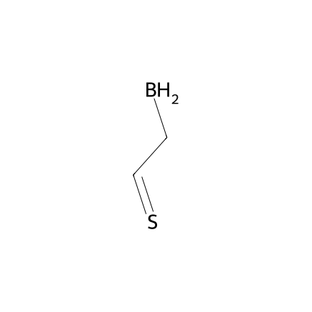 BCC=S